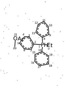 CC[PH](c1ccccc1)(c1ccccc1)c1ccccc1.COC(C)=O